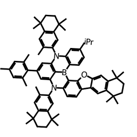 Cc1cc(C)c(-c2cc3c4c(c2)N(c2cc5c(cc2C)C(C)(C)CCC5(C)C)c2ccc5c(oc6cc7c(cc65)C(C)(C)CCC7(C)C)c2B4c2ccc(C(C)C)cc2N3c2cc3c(cc2C)C(C)(C)CCC3(C)C)c(C)c1